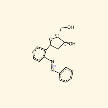 OC[C@H]1OC(c2ccccc2/N=N/c2ccccc2)C[C@@H]1O